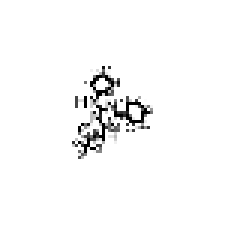 CC(C)(C)C(=O)Nc1nc(Nc2ccccc2)nc(-c2ccccc2)n1